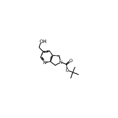 CC(C)(C)OC(=O)N1Cc2cc(CO)cnc2C1